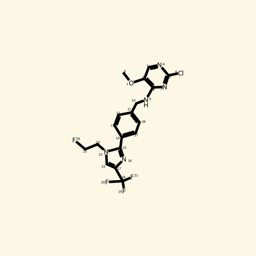 COc1cnc(Cl)nc1NCc1ccc(-c2nc(C(F)(F)F)cn2CCF)cc1